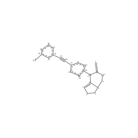 O=C1OCC2CCC=C2N1c1ccc(C#Cc2cccc(F)c2)cn1